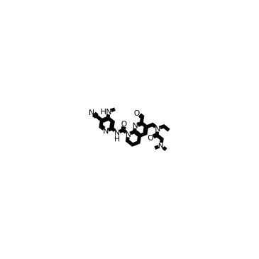 CCN(Cc1cc2c(nc1C=O)N(C(=O)Nc1cc(NC)c(C#N)cn1)CCC2)C(=O)CN(C)C